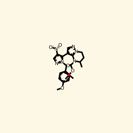 COc1ccc(Cn2ncc([N+](=O)[O-])c2-c2cnn3c2N(C(=O)OC(C)(C)C)C(C)CC3)cc1